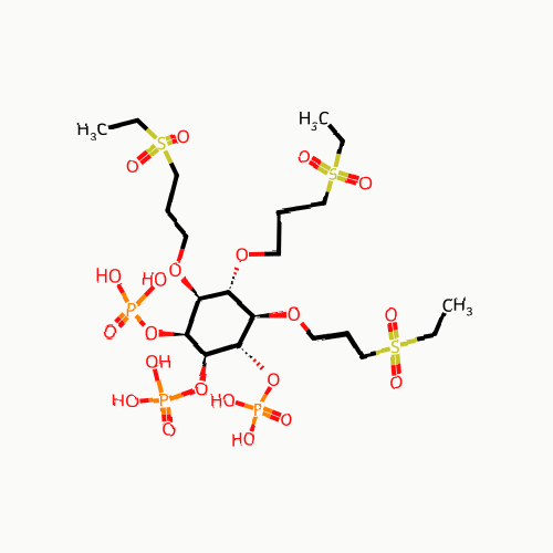 CCS(=O)(=O)CCCO[C@@H]1[C@@H](OCCCS(=O)(=O)CC)[C@H](OP(=O)(O)O)[C@@H](OP(=O)(O)O)[C@@H](OP(=O)(O)O)[C@H]1OCCCS(=O)(=O)CC